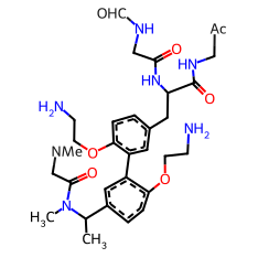 CNCC(=O)N(C)C(C)c1ccc(OCCN)c(-c2cc(CC(NC(=O)CNC=O)C(=O)NCC(C)=O)ccc2OCCN)c1